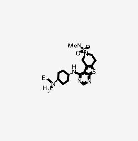 CCN(C)[C@H]1CC[C@H](Nc2ncnc3sc4c(c23)CN(S(=O)(=O)NC)CC4)CC1